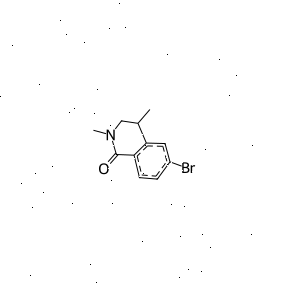 CC1CN(C)C(=O)c2ccc(Br)cc21